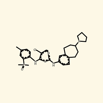 Cc1ccc(Nc2nc(Nc3ccc4c(c3)CCC(N3CCCC3)CC4)ncc2Cl)c(P(C)(C)=O)c1